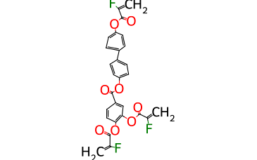 C=C(F)C(=O)Oc1ccc(-c2ccc(OC(=O)c3ccc(OC(=O)C(=C)F)c(OC(=O)C(=C)F)c3)cc2)cc1